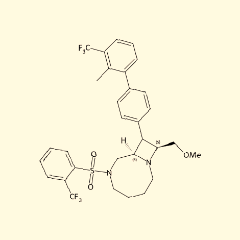 COC[C@@H]1C(c2ccc(-c3cccc(C(F)(F)F)c3C)cc2)[C@@H]2CN(S(=O)(=O)c3ccccc3C(F)(F)F)CCCCN12